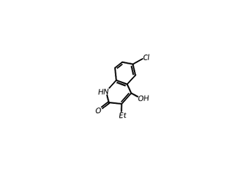 CCc1c(O)c2cc(Cl)ccc2[nH]c1=O